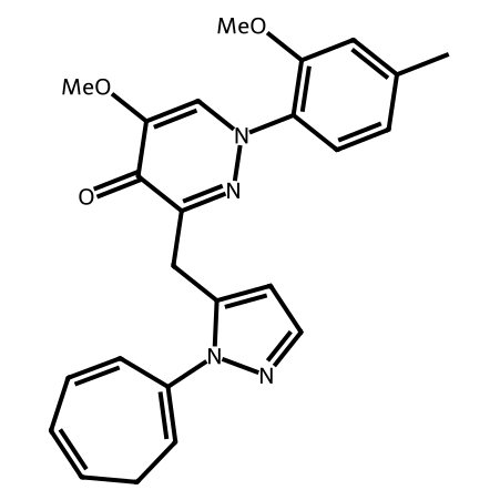 COc1cc(C)ccc1-n1cc(OC)c(=O)c(Cc2ccnn2C2=CCC=CC=C2)n1